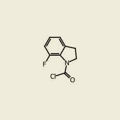 O=C(Cl)N1CCc2cccc(F)c21